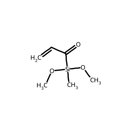 C=CC(=O)[Si](C)(OC)OC